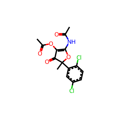 CC(=O)NC1=C(OC(C)=O)C(=O)C(C)(c2cc(Cl)ccc2Cl)O1